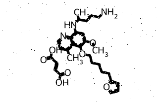 COc1cc(NC(C)CCCN)c2nccc(C)c2c1OCCCCCc1ccco1.O=C(O)/C=C/C(=O)O